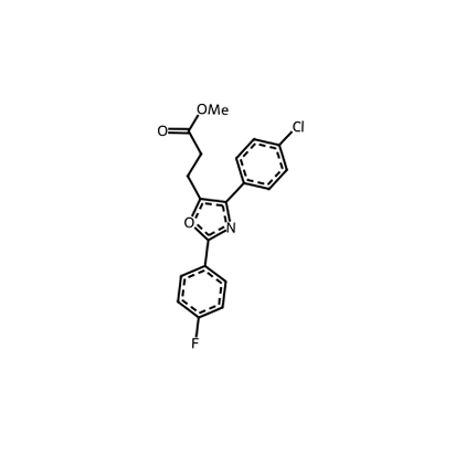 COC(=O)CCc1oc(-c2ccc(F)cc2)nc1-c1ccc(Cl)cc1